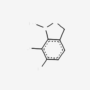 CCc1c(O)ccc2c1B(O)OC2